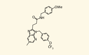 COc1ccc(CNC(=O)CCc2nc3cc(C)cnc3n2Cc2ccc(OC(F)(F)F)cc2)cc1